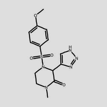 COc1ccc(S(=O)(=O)N2CCN(C)C(=O)C2c2c[nH]nn2)cc1